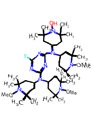 CON1C(C)(C)CC(N(c2nc(F)nc(N(C3CC(C)(C)N(OC)C(C)(C)C3)C3CC(C)(C)N(OC)C(C)(C)C3)n2)C2CC(C)(C)N(O)C(C)(C)C2)CC1(C)C